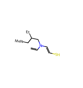 C=CN(/C=C/S)CC(CC)CNC